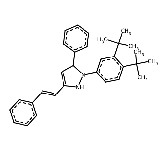 CC(C)(C)c1ccc(N2NC(C=Cc3ccccc3)=CC2c2ccccc2)cc1C(C)(C)C